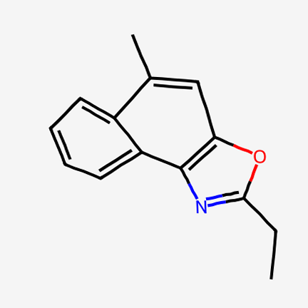 CCc1nc2c(cc(C)c3ccccc32)o1